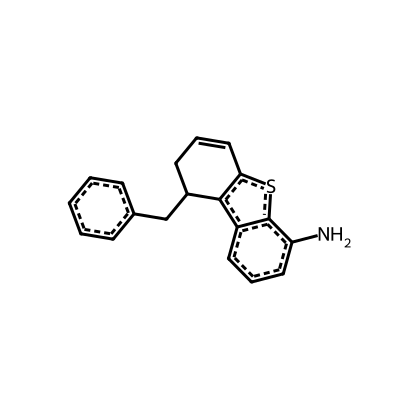 Nc1cccc2c3c(sc12)C=CCC3Cc1ccccc1